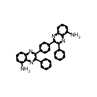 Nc1cccc2nc(-c3ccc(-c4nc5cccc(N)c5nc4-c4ccccc4)cc3)c(-c3ccccc3)nc12